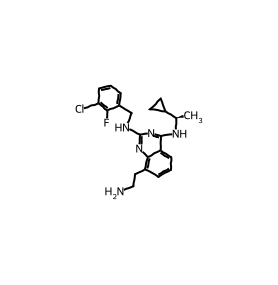 C[C@@H](Nc1nc(NCc2cccc(Cl)c2F)nc2c(CCN)cccc12)C1CC1